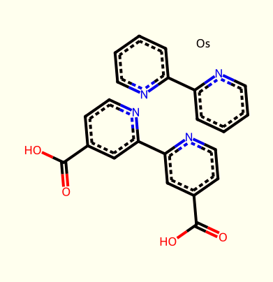 O=C(O)c1ccnc(-c2cc(C(=O)O)ccn2)c1.[Os].c1ccc(-c2ccccn2)nc1